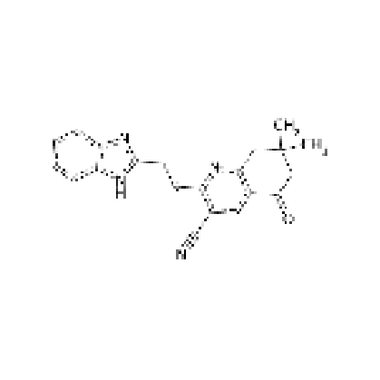 CC1(C)CC(=O)c2cc(C#N)c(SCc3nc4ccccc4[nH]3)nc2C1